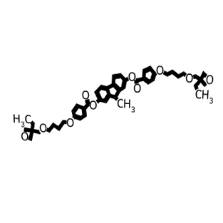 CCC1(COCCCCOc2ccc(C(=O)Oc3ccc4c(c3)C(C)c3cc(OC(=O)c5ccc(OCCCCOCC6(CC)COC6)cc5)ccc3-4)cc2)COC1